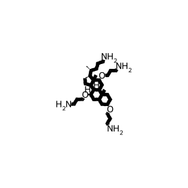 C[C@H](CCCN)[C@H]1CC[C@H]2C3[C@H](OCCCN)CC4C[C@H](OCCCN)CCC4(C)[C@H]3C[C@H](OCCCN)C12C